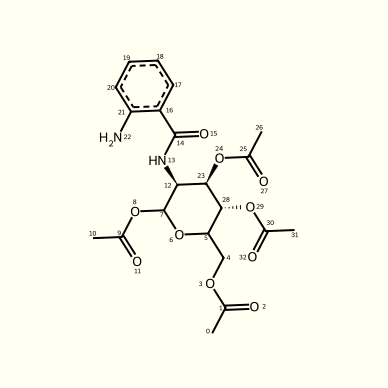 CC(=O)OCC1OC(OC(C)=O)[C@@H](NC(=O)c2ccccc2N)[C@@H](OC(C)=O)[C@@H]1OC(C)=O